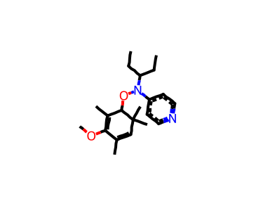 CCC(CC)N(OC1C(C)=C(OC)C(C)=CC1(C)C)c1ccncc1